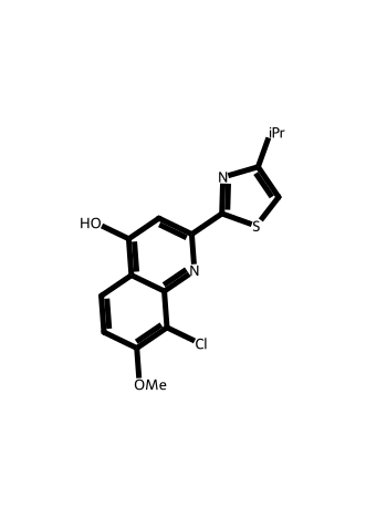 COc1ccc2c(O)cc(-c3nc(C(C)C)cs3)nc2c1Cl